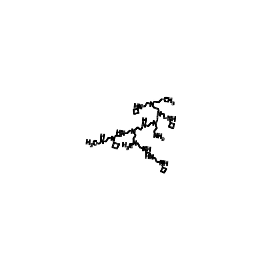 CCCCN(CCNC1CCC1)CCN(CCNC1CCC1)CCN(CCN)CCNCCN(CCNCCN(CCNCC)C1CCC1)CCN(C)CCNCCNCCNC1CCC1